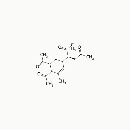 CC(=O)C[C@H](C(C)=O)C1C=C(C)C(C(C)=O)C(C(C)=O)C1